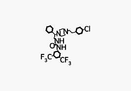 O=C(NCC(c1ccccc1)N1CCN(CCc2ccc(Cl)cc2)CC1)Nc1cc(C(F)(F)F)cc(C(F)(F)F)c1